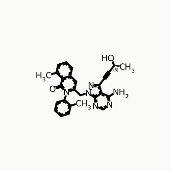 Cc1ccccc1-n1c(Cn2nc(C#C[C@H](C)O)c3c(N)ncnc32)cc2cccc(C)c2c1=O